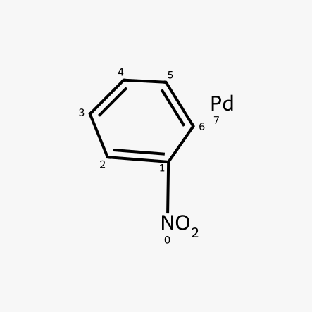 O=[N+]([O-])c1ccccc1.[Pd]